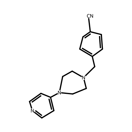 N#Cc1ccc(CN2CCN(c3ccncc3)CC2)cc1